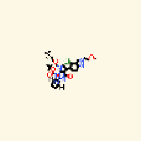 COCCn1cc2c(Cl)c(-c3cn(COCC[Si](C)(C)C)c4nc(N5[C@H]6CC[C@@H]5[C@H](NC(=O)OC(C)(C)C)C6)n(C)c(=O)c34)ccc2n1